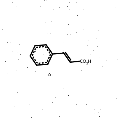 O=C(O)C=Cc1ccccc1.[Zn]